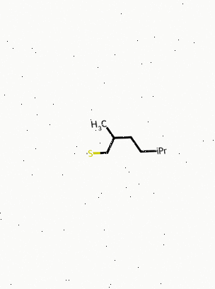 CC(C)CCC(C)C[S]